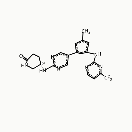 Cc1cc(Nc2nccc(C(F)(F)F)n2)cc(-c2cnc(N[C@H]3CCC(=O)NC3)nc2)c1